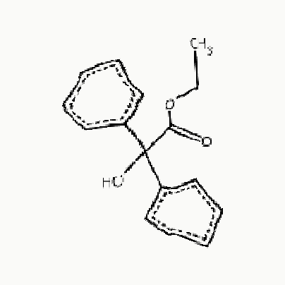 CCOC(=O)C(O)(c1ccccc1)c1ccccc1